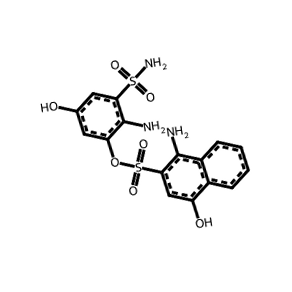 Nc1c(OS(=O)(=O)c2cc(O)c3ccccc3c2N)cc(O)cc1S(N)(=O)=O